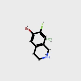 Cl.Fc1cc2c(cc1Br)CCNC2